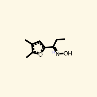 CC/C(=N\O)c1cc(C)c(C)o1